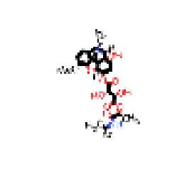 COc1ccc2c3c1O[C@H]1C(OC(=O)[C@H](O)[C@@H](O)C(=O)O[C@@H](C)C(=O)N[C@@H](C)C(C)=O)=CC[C@@]4(O)[C@@H](C2)N(C)CC[C@]314